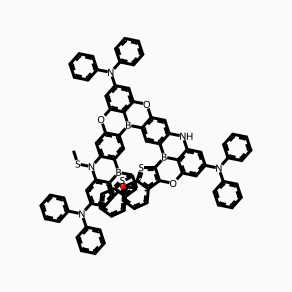 CSN1c2cc3c(cc2B2c4sc5ccccc5c4Oc4cc(N(c5ccccc5)c5ccccc5)cc1c42)B1c2cc4c(cc2Oc2cc(N(c5ccccc5)c5ccccc5)cc(c21)O3)Nc1cc(N(c2ccccc2)c2ccccc2)cc2c1B4c1sc3ccccc3c1O2